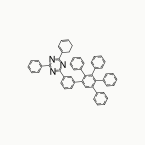 C1=CCCC(c2nc(-c3ccccc3)nc(-c3cccc(-c4cc(-c5ccccc5)c(-c5ccccc5)c(-c5ccccc5)c4-c4ccccc4)c3)n2)=C1